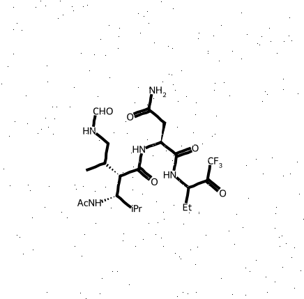 CCC(NC(=O)[C@H](CC(N)=O)NC(=O)[C@@H](C(C)CNC=O)[C@@H](NC(C)=O)C(C)C)C(=O)C(F)(F)F